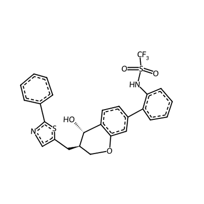 O=S(=O)(Nc1ccccc1-c1ccc2c(c1)OC[C@@H](Cc1cnc(-c3ccccc3)s1)[C@@H]2O)C(F)(F)F